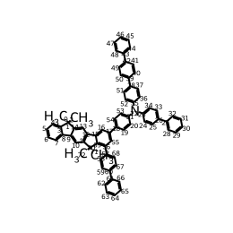 CC1(C)c2ccccc2-c2cc3c(cc21)-c1cc(-c2ccc(N(c4ccc(-c5ccccc5)cc4)c4ccc(-c5ccc(-c6ccccc6)cc5)cc4)cc2)cc(-c2ccc(-c4ccccc4)cc2)c1C3(C)C